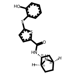 O=C(N[C@@H]1C[C@H]2CC[C@@H]1N2)c1ccc(Sc2ccccc2O)s1